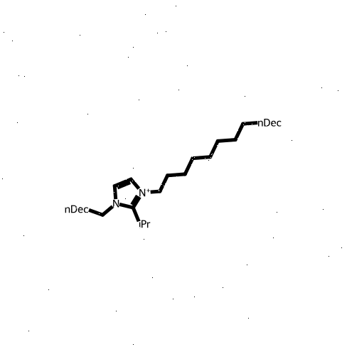 CCCCCCCCCCCCCCCCCC[n+]1ccn(CCCCCCCCCCC)c1C(C)C